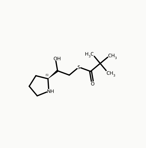 CC(C)(C)C(=O)SCC(O)[C@@H]1CCCN1